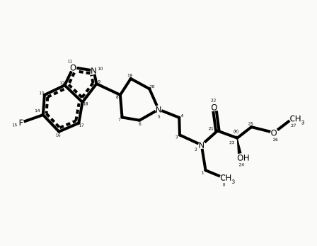 CCN(CCN1CCC(c2noc3cc(F)ccc23)CC1)C(=O)[C@H](O)COC